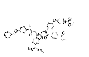 COC(=O)c1ccc(C(=O)N(Cc2nc3cc(C(=N)N)ccc3n2CC(=O)Nc2ccc(OCc3ccccc3)cc2)c2ccc(OC3CCN(C(=O)OC(C)(C)C)CC3)cc2)cc1